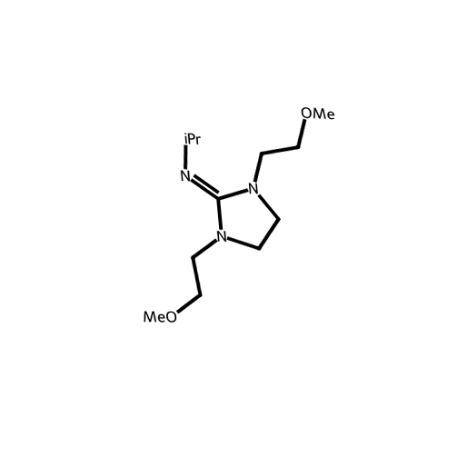 COCCN1CCN(CCOC)C1=NC(C)C